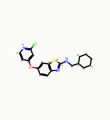 Clc1cc(Oc2ccc3nc(NCC4CCCCC4)sc3c2)ccn1